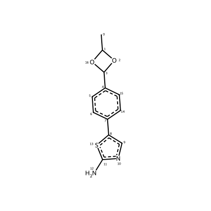 CC1OC(c2ccc(-c3cnc(N)s3)cc2)O1